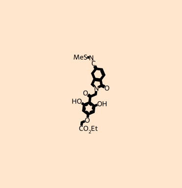 CCOC(=O)COc1cc(O)c(C(=O)CN2CC3=C(C=CC(=C=NSC)C3)C2=O)c(O)c1